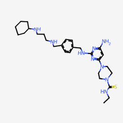 CCNC(=S)N1CCN(c2cc(N)nc(NCc3ccc(CNCCCNC4CCCCC4)cc3)n2)CC1